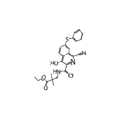 CCOC(=O)C(C)(C)CNC(=O)c1nc(C#N)c2cc(Sc3ccccc3)ccc2c1O